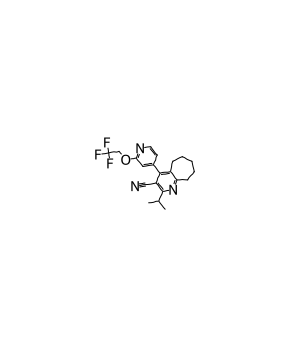 CC(C)c1nc2c(c(-c3ccnc(OCC(F)(F)F)c3)c1C#N)CCCCC2